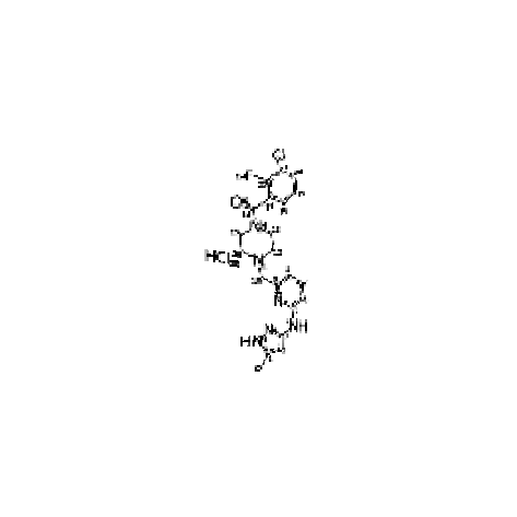 Cc1cc(Nc2cccc(CN3CCN(C(=O)c4cccc(Cl)c4F)CC3)n2)n[nH]1.Cl